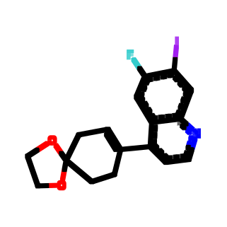 Fc1cc2c(C3=CCC4(CC3)OCCO4)ccnc2cc1I